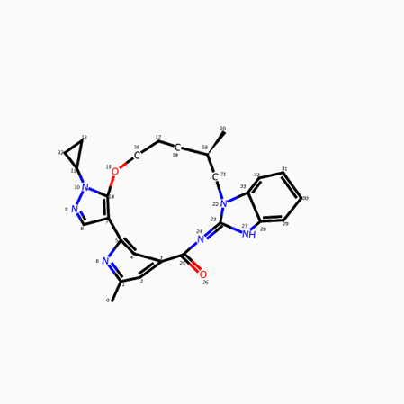 Cc1cc2cc(n1)-c1cnn(C3CC3)c1OCCC[C@@H](C)CN1/C(=N/C2=O)Nc2ccccc21